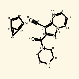 C#Cc1c(C(=O)N2CCOCC2)nn2cccnc12.c1cc2cc-2c1